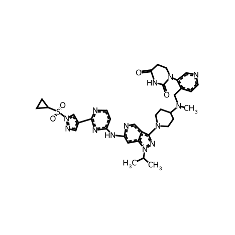 CC(C)n1nc(N2CCC(N(C)Cc3ccncc3N3CCC(=O)NC3=O)CC2)c2cnc(Nc3ccnc(-c4cnn(S(=O)(=O)C5CC5)c4)n3)cc21